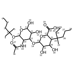 CCCC(C)(C)OC1OC(O)C(O)C(OC2OC(C(=O)O)C(C(C)(CC)CCC)C(O)C2O)C1NC(C)=O